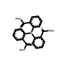 COC(=O)c1ccccc1N(c1ccccc1C(=O)OC)c1ccccc1C(=O)OC